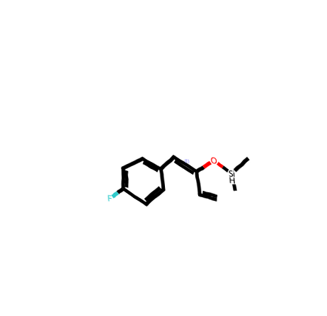 C=C/C(=C\c1ccc(F)cc1)O[SiH](C)C